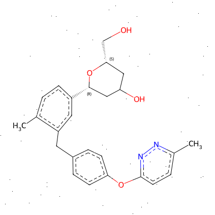 Cc1ccc(Oc2ccc(Cc3cc([C@H]4CC(O)C[C@@H](CO)O4)ccc3C)cc2)nn1